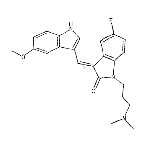 COc1ccc2[nH]cc(/C=C3/C(=O)N(CCCN(C)C)c4ccc(F)cc43)c2c1